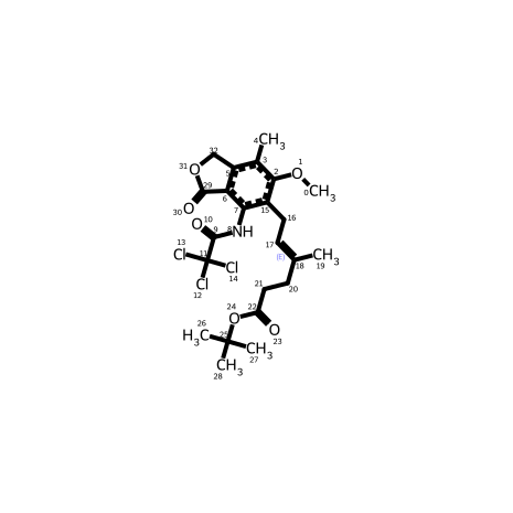 COc1c(C)c2c(c(NC(=O)C(Cl)(Cl)Cl)c1C/C=C(\C)CCC(=O)OC(C)(C)C)C(=O)OC2